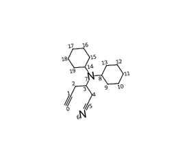 C#CCC(CC#N)N(C1CCCCC1)C1CCCCC1